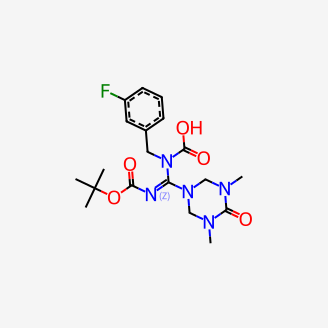 CN1CN(/C(=N/C(=O)OC(C)(C)C)N(Cc2cccc(F)c2)C(=O)O)CN(C)C1=O